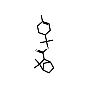 CC1=CCC(C(C)(C)OC(=O)C2C3CCC(C3)C2(C)C)CC1